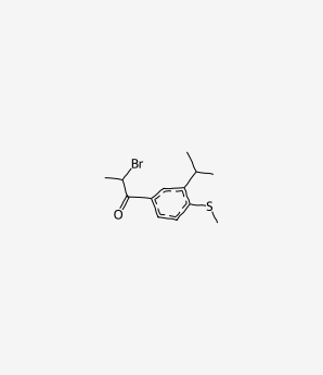 CSc1ccc(C(=O)C(C)Br)cc1C(C)C